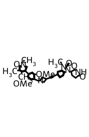 COc1cc(-c2cn(C)c(=O)c(C)c2C)cc(OC)c1CN1CC(C#Cc2ccc3c(c2)n(C)c(=O)n3C2CCC(=O)NC2=O)C1